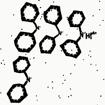 [Hf+4].c1ccc([N-]c2ccccc2)cc1.c1ccc([N-]c2ccccc2)cc1.c1ccc([N-]c2ccccc2)cc1.c1ccc([N-]c2ccccc2)cc1